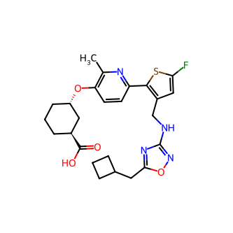 Cc1nc(-c2sc(F)cc2CNc2noc(CC3CCC3)n2)ccc1O[C@H]1CCC[C@H](C(=O)O)C1